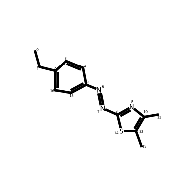 C[CH]c1ccc(N=Nc2nc(C)c(C)s2)cc1